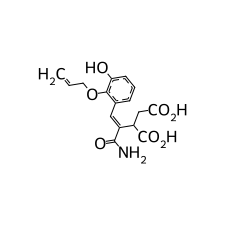 C=CCOc1c(O)cccc1C=C(C(N)=O)C(CC(=O)O)C(=O)O